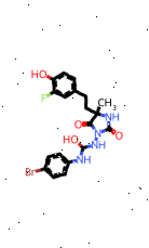 CC1(CCc2ccc(O)c(F)c2)NC(=O)N(NC(O)Nc2ccc(Br)cc2)C1=O